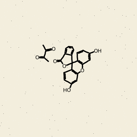 CC(=O)C(C)=O.O=C1OC2(c3ccc(O)cc3Oc3cc(O)ccc32)c2ccccc21